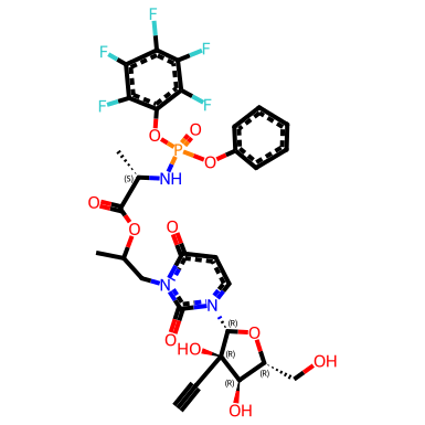 C#C[C@@]1(O)[C@H](O)[C@@H](CO)O[C@H]1n1ccc(=O)n(CC(C)OC(=O)[C@H](C)NP(=O)(Oc2ccccc2)Oc2c(F)c(F)c(F)c(F)c2F)c1=O